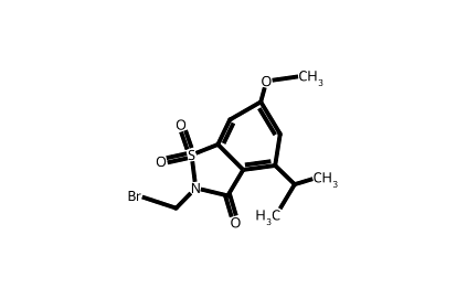 COc1cc(C(C)C)c2c(c1)S(=O)(=O)N(CBr)C2=O